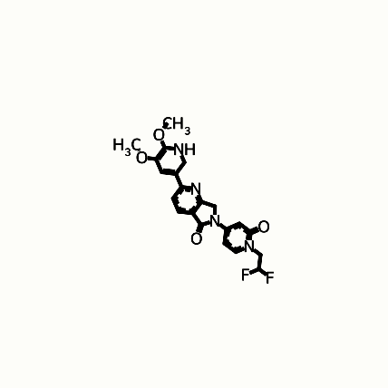 COC1=C(OC)NCC(c2ccc3c(n2)CN(c2ccn(CC(F)F)c(=O)c2)C3=O)=C1